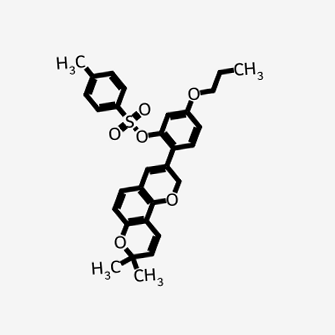 CCCOc1ccc(C2=Cc3ccc4c(c3OC2)C=CC(C)(C)O4)c(OS(=O)(=O)c2ccc(C)cc2)c1